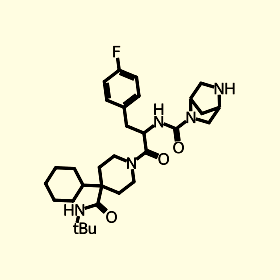 CC(C)(C)NC(=O)C1(C2CCCCC2)CCN(C(=O)C(Cc2ccc(F)cc2)NC(=O)N2CC3CC2CN3)CC1